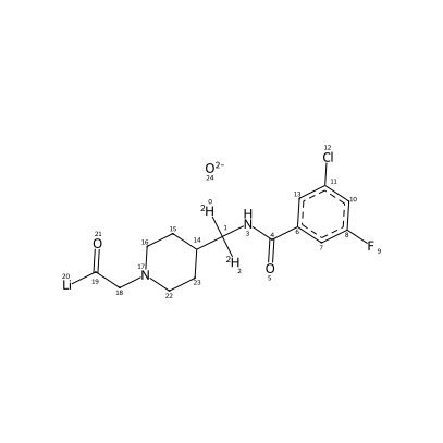 [2H]C([2H])(NC(=O)c1cc(F)cc(Cl)c1)C1CCN(C[C]([Li])=O)CC1.[O-2]